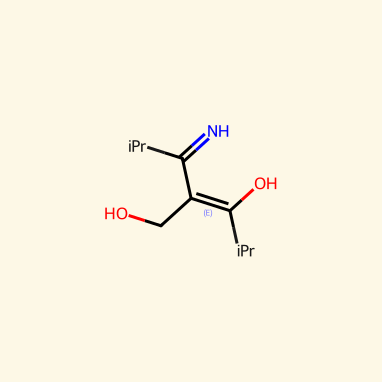 CC(C)C(=N)/C(CO)=C(\O)C(C)C